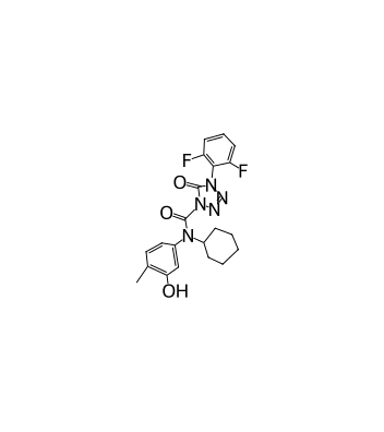 Cc1ccc(N(C(=O)n2nnn(-c3c(F)cccc3F)c2=O)C2CCCCC2)cc1O